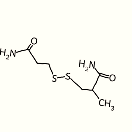 CC(CSSCCC(N)=O)C(N)=O